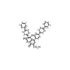 O=C(O)c1cn(-c2ccc(N3CCN(c4ccccc4)CC3)cc2F)c2cc(N3CCN(c4ccccc4)CC3)c(F)cc2c1=O